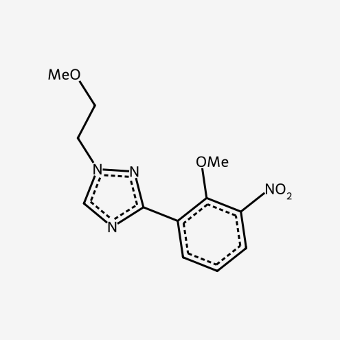 COCCn1cnc(-c2cccc([N+](=O)[O-])c2OC)n1